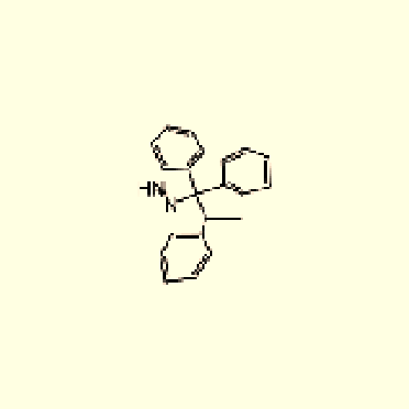 CC(c1ccccc1)C(N=N)(c1ccccc1)c1ccccc1